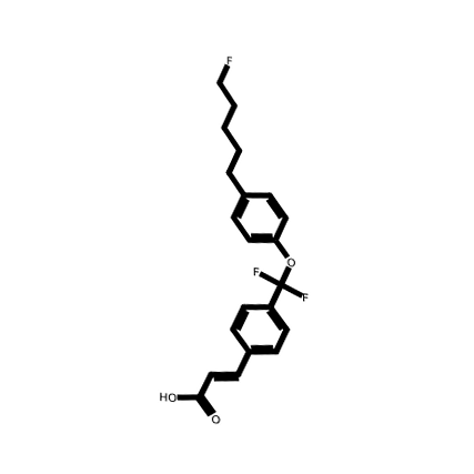 O=C(O)C=Cc1ccc(C(F)(F)Oc2ccc(CCCCCF)cc2)cc1